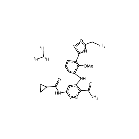 COc1c(Nc2cc(NC(=O)C3CC3)nnc2C(N)=O)cccc1-c1noc(CN)n1.[2H]C([2H])[2H]